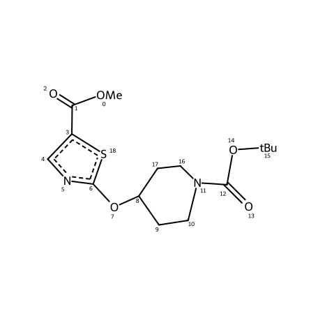 COC(=O)c1cnc(OC2CCN(C(=O)OC(C)(C)C)CC2)s1